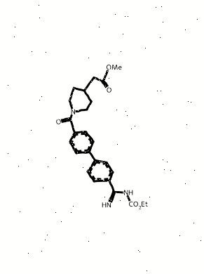 CCOC(=O)NC(=N)c1ccc(-c2ccc(C(=O)N3CCC(CC(=O)OC)CC3)cc2)cc1